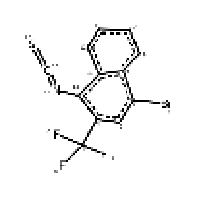 FC(F)(F)c1cc(Br)c2ccccc2c1N=C=S